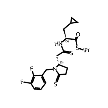 CC(C)SC(=O)[C@H](CC1CC1)NC(=S)C[C@@H]1CCC(=S)N1Cc1cccc(F)c1F